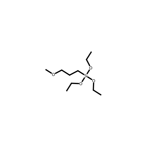 CCO[Si](CCCOC)(OCC)OCC